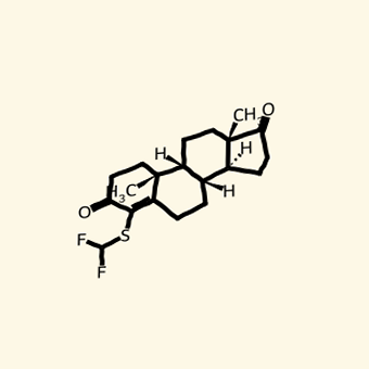 C[C@]12CCC(=O)C(SC(F)F)=C1CC[C@@H]1[C@H]2CC[C@]2(C)C(=O)CC[C@@H]12